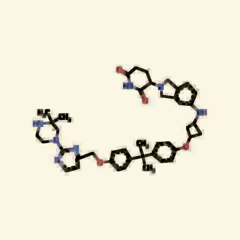 CC1(C)CN(c2nccc(COc3ccc(C(C)(C)c4ccc(OC5CC(Nc6ccc7c(c6)CN(C6CCC(=O)NC6=O)C7)C5)cc4)cc3)n2)CCN1